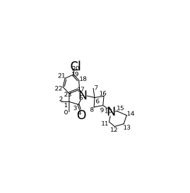 CC1(C)C(=O)N(C2(C)CC(N3CCCCC3)C2)c2cc(Cl)ccc21